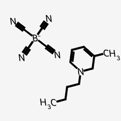 CCCCN1C=CC=C(C)C1.N#C[B-](C#N)(C#N)C#N